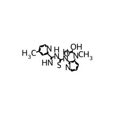 Cc1ccnc(C(=N)NC(=S)Nc2ncccc2N(C)C(=O)O)c1